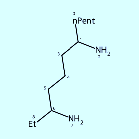 CCCCCC(N)CCCC(N)CC